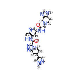 Cc1ncc(NC(=O)CN2CCc3c(ncn3C)C2)cc1NC(=O)c1nnc2cc(-c3cnn(C)c3)ccn12